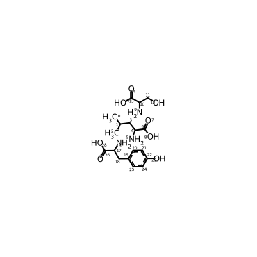 CC(C)CC(N)C(=O)O.NC(CO)C(=O)O.NC(Cc1ccc(O)cc1)C(=O)O